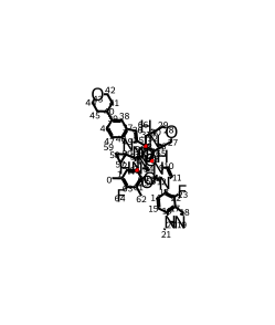 Cc1cc(-n2nc3c(c2-n2ccn(-c4ccc5c(cnn5C)c4F)c2=O)[C@@H]2COC[C@H](C3)N2C(=O)c2cc3cc(C4CCOCC4)ccc3n2[C@@]2(c3noc(=O)[nH]3)C[C@@H]2C)cc(C)c1F